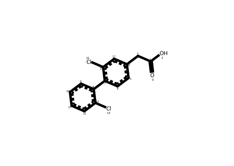 O=C(O)Cc1ccc(-c2ccccc2Cl)c(Cl)c1